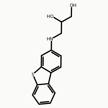 OCC(O)CNc1ccc2c(c1)sc1ccccc12